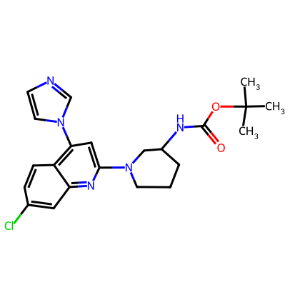 CC(C)(C)OC(=O)NC1CCCN(c2cc(-n3ccnc3)c3ccc(Cl)cc3n2)C1